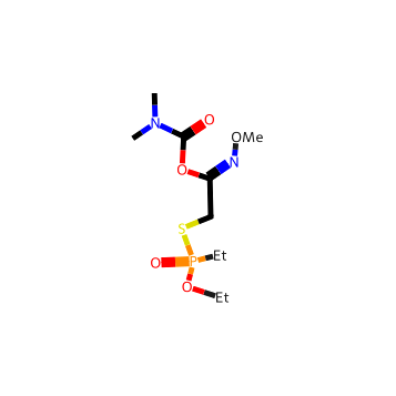 CCOP(=O)(CC)SCC(=NOC)OC(=O)N(C)C